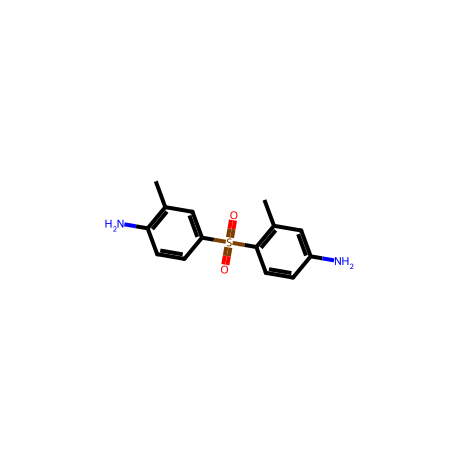 Cc1cc(S(=O)(=O)c2ccc(N)cc2C)ccc1N